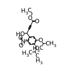 CCOC(=O)C#CC(O)c1cc(OC(C)C)c(OC(C)C)cc1[N+](=O)[O-]